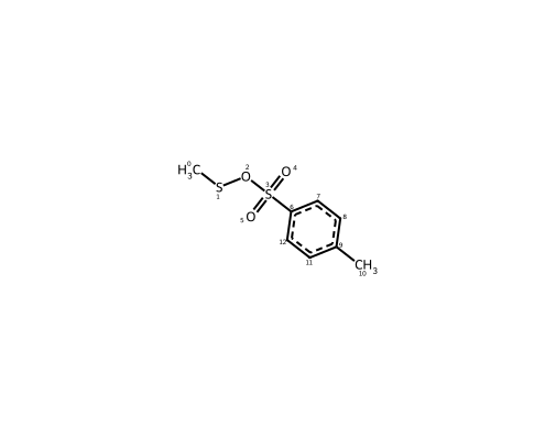 CSOS(=O)(=O)c1ccc(C)cc1